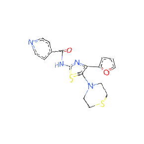 O=C(Nc1nc(-c2ccco2)c(N2CCSCC2)s1)c1ccncc1